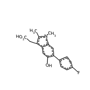 Cc1c(CC(=O)O)c2cc(O)c(-c3ccc(F)cc3)cc2n1C